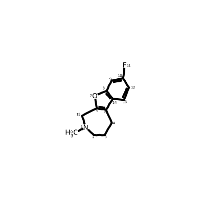 CN1CCCc2c(oc3cc(F)ccc23)C1